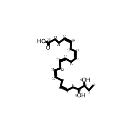 CCC(O)C(O)C/C=C\C/C=C\C/C=C\C/C=C\C/C=C\CCC(=O)O